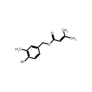 CC(C)=CC(=O)OCc1ccc(C(C)C)c(C)c1